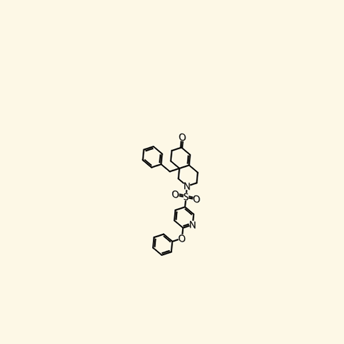 O=C1C=C2CCN(S(=O)(=O)c3ccc(Oc4ccccc4)nc3)CC2(Cc2ccccc2)CC1